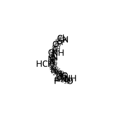 Cl.N#Cc1ccc(O[C@H]2CC[C@H](NC(=O)c3cnc(N4CCC(CN5CCC(n6ccc7c(N8CCC(=O)NC8=O)cc(F)cc76)CC5)CC4)cn3)CC2)cc1Cl